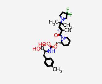 Cc1ccc(C[C@H](NC(=O)OC[C@H]2CCCCN2C(=O)/C(C#N)=C/C(C)(C)N2CCC(F)(F)C2)B(O)O)cc1